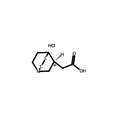 Cl.O=C(O)C[C@H]1CN2CCC1CC2